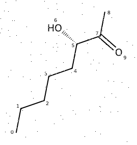 CCCCC[C@H](O)C(C)=O